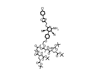 C[C@H](NC(=O)[C@H](CCC(=O)OC(C)(C)C)NC(=O)OC(C)(C)C)C(=O)OC[C@H](COc1ccc(-c2c(C#N)c(N)nc(SCc3coc(-c4ccc(Cl)cc4)n3)c2C#N)cc1)OC(=O)[C@H](C)NC(=O)[C@H](CCC(=O)OC(C)(C)C)NC(=O)OC(C)(C)C